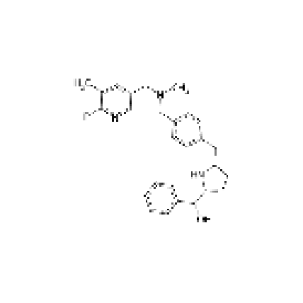 Cc1cc(CN(C)Cc2ccc(C[C@@H]3CC[C@H]([C@H](O)c4ccccc4)N3)cc2)cnc1F